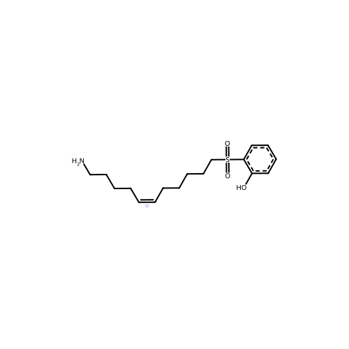 NCCCC/C=C\CCCCCS(=O)(=O)c1ccccc1O